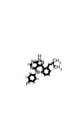 CN(C)Cc1ccccc1-c1n[nH]c2ncnc(Nc3ccc(F)cc3)c12